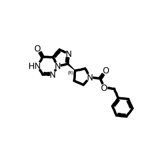 O=C(OCc1ccccc1)N1CC[C@@H](c2ncc3c(=O)[nH]cnn23)C1